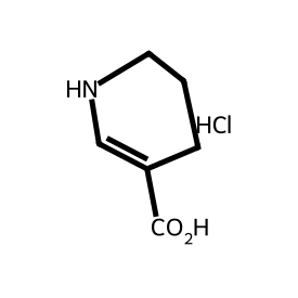 Cl.O=C(O)C1=CNCCC1